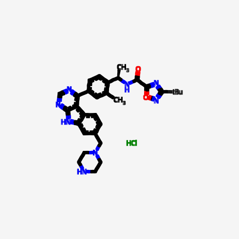 Cc1cc(-c2ncnc3[nH]c4cc(CN5CCNCC5)ccc4c23)ccc1[C@@H](C)NC(=O)c1nc(C(C)(C)C)no1.Cl